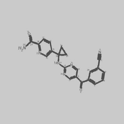 N#Cc1cccc(C(=O)c2cnc(NC3(c4ccc(C(N)=O)nc4)CC3)nc2)c1